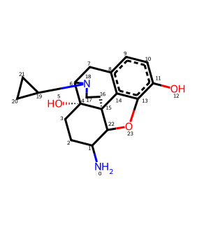 NC1CC[C@@]2(O)C3Cc4ccc(O)c5c4[C@@]2(CCN3C2CC2)C1O5